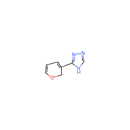 [CH]1OC=CC=C1c1nnc[nH]1